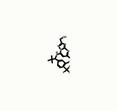 Cc1cc(NC(c2ccc(C(F)(F)F)c(F)c2)C(C)(C)C)n2nc(CO)nc2n1